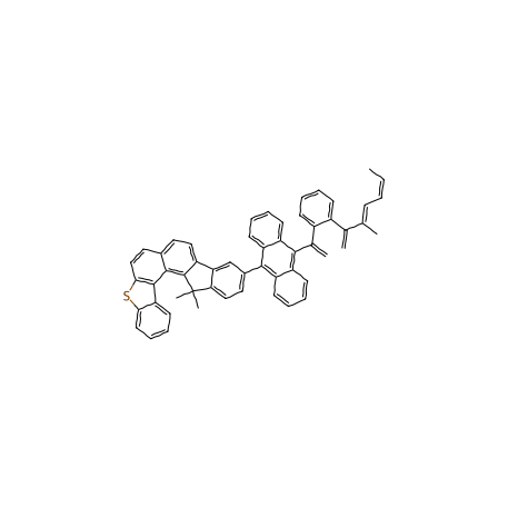 C=C(/C(C)=C/C=C\C)c1ccccc1C(=C)c1c2ccccc2c(-c2ccc3c(c2)-c2ccc4ccc5sc6ccccc6c5c4c2C3(C)C)c2ccccc12